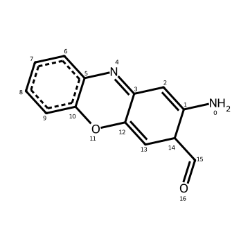 NC1=CC2=Nc3ccccc3OC2=CC1C=O